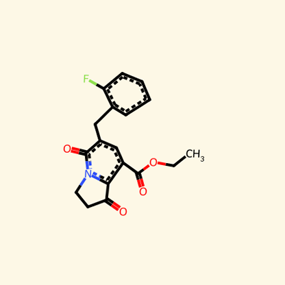 CCOC(=O)c1cc(Cc2ccccc2F)c(=O)n2c1C(=O)CC2